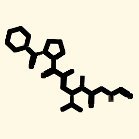 C/C(=C\[C@H](C(C)C)N(C)C(=O)CNC=O)C(=O)N1CCC[C@H]1C(=O)N1CCCCC1